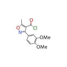 COc1ccc(-c2noc(C)c2C(=O)Cl)cc1OC